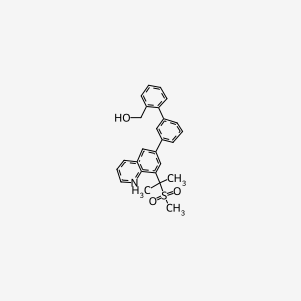 CC(C)(c1cc(-c2cccc(-c3ccccc3CO)c2)cc2cccnc12)S(C)(=O)=O